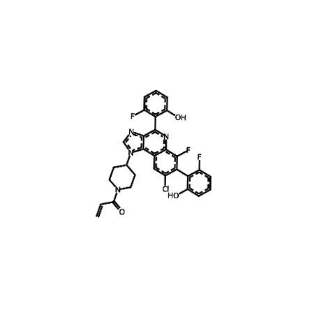 C=CC(=O)N1CCC(n2cnc3c(-c4c(O)cccc4F)nc4c(F)c(-c5c(O)cccc5F)c(Cl)cc4c32)CC1